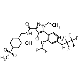 CCn1nc(C(=O)NC[C@@H]2CCC(S(C)(=O)=O)C[C@H]2O)c(Cl)c1-c1ccc(CC(C)(C)C(F)(F)F)cc1OC(F)F